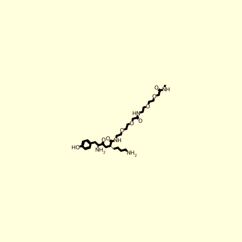 CNC(=O)COCCOCCNC(=O)COCCOCCNC(=O)[C@H](CCCCN)CC(=O)[C@@H](N)Cc1ccc(O)cc1